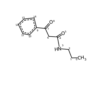 CCCNC(=O)CC(=O)c1ccccc1